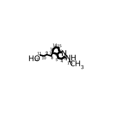 CCNc1ccc2c(CCCCO)cccc2n1